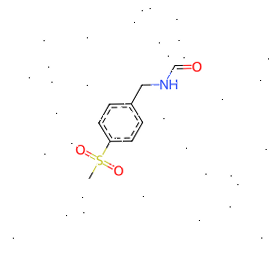 CS(=O)(=O)c1ccc(CNC=O)cc1